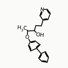 CC(Oc1ccc(-c2ccccc2)cc1)C(O)CCc1cccnc1